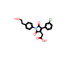 O=C(O)CC1=C(c2cccc(Cl)c2)C(=O)N(c2ccc(CCO)cc2)C1=O